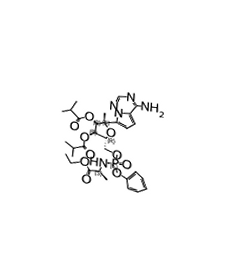 CCOC(=O)[C@H](C)N[P@](=O)(OC[C@H]1O[C@@](C)(c2ccc3c(N)ncnn23)[C@H](OC(=O)C(C)C)[C@@H]1OC(=O)C(C)C)Oc1ccccc1